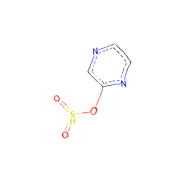 O=[SH](=O)Oc1cnccn1